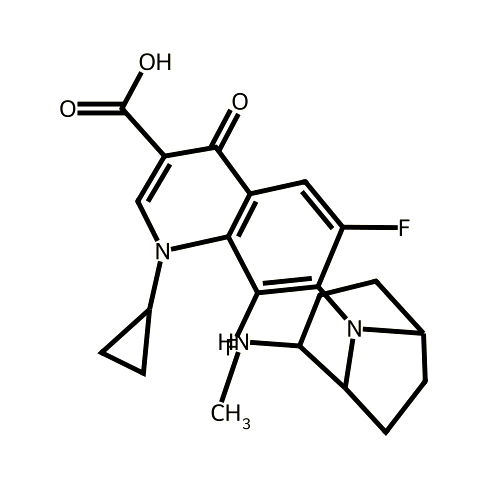 CNC1CCC2CCC1N2c1c(F)cc2c(=O)c(C(=O)O)cn(C3CC3)c2c1F